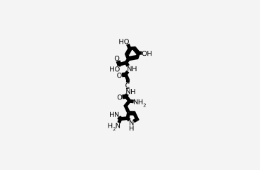 N=C(N)C1NCC=C1CC(N)C(=O)NCCC(=O)NC(C(=O)O)c1cc(O)cc(O)c1